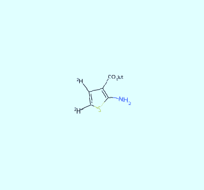 [2H]c1sc(N)c(C(=O)OCC)c1[2H]